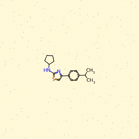 CC(C)c1ccc(-c2csc(NC3CCCC3)n2)cc1